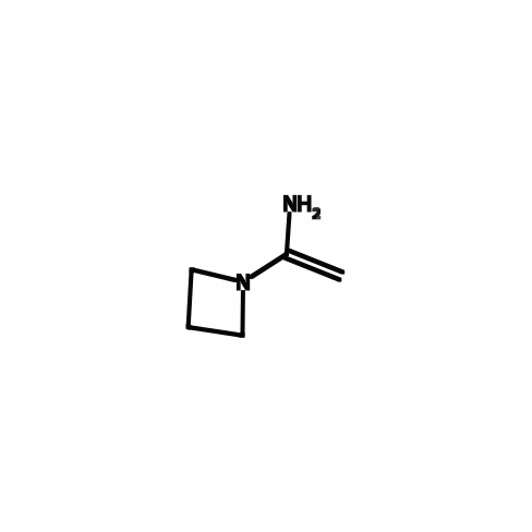 C=C(N)N1CCC1